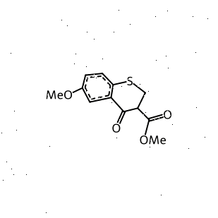 COC(=O)C1CSc2ccc(OC)cc2C1=O